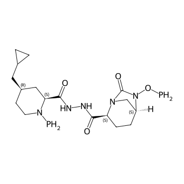 O=C(NNC(=O)[C@@H]1CC[C@H]2CN1C(=O)N2OP)[C@@H]1C[C@H](CC2CC2)CCN1P